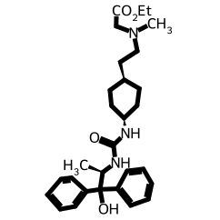 CCOC(=O)CN(C)CC[C@H]1CC[C@H](NC(=O)N[C@H](C)C(O)(c2ccccc2)c2ccccc2)CC1